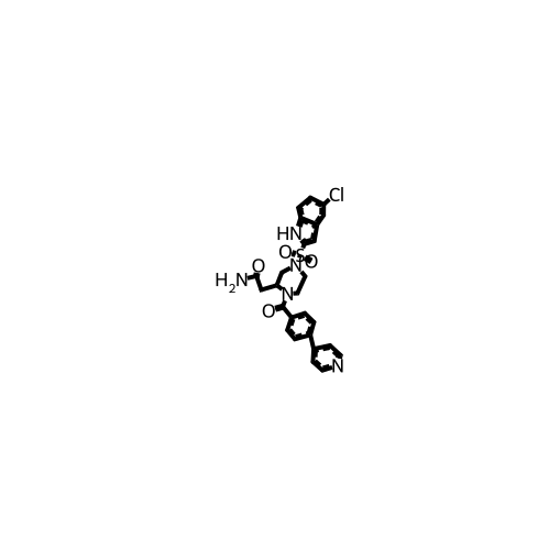 NC(=O)CC1CN(S(=O)(=O)c2cc3cc(Cl)ccc3[nH]2)CCN1C(=O)c1ccc(-c2ccncc2)cc1